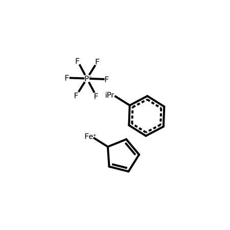 CC(C)c1ccccc1.F[P-](F)(F)(F)(F)F.[Fe+][CH]1C=CC=C1